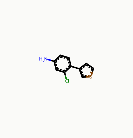 Nc1ccc(-c2ccsc2)c(Cl)c1